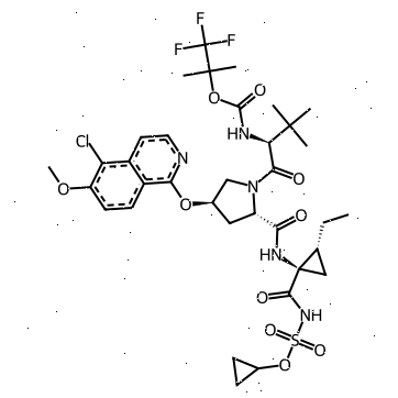 CC[C@@H]1C[C@]1(NC(=O)[C@@H]1C[C@@H](Oc2nccc3c(Cl)c(OC)ccc23)CN1C(=O)[C@@H](NC(=O)OC(C)(C)C(F)(F)F)C(C)(C)C)C(=O)NS(=O)(=O)OC1CC1